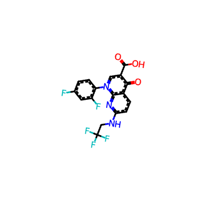 O=C(O)c1cn(-c2ccc(F)cc2F)c2nc(NCC(F)(F)F)ccc2c1=O